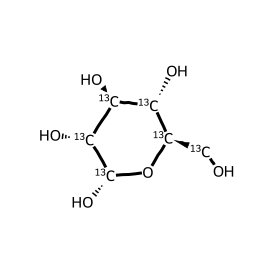 O[13CH2][13C@H]1O[13C@H](O)[13C@H](O)[13C@@H](O)[13C@@H]1O